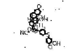 C[C@]12C=CC(=O)C=C1CC[C@H]1[C@@H]3CC[C@@](OC(=O)c4ccc(Sc5ccc(Cl)c(O)c5)cc4)(C(=O)OCC#N)[C@@]3(C)C[C@H](O)C12F